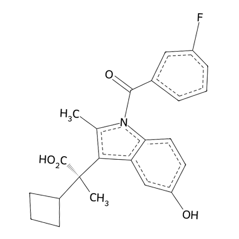 Cc1c([C@](C)(C(=O)O)C2CCC2)c2cc(O)ccc2n1C(=O)c1cccc(F)c1